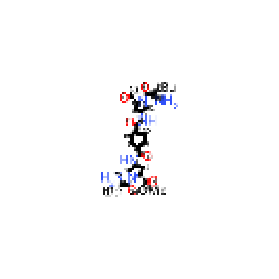 COC(=O)[C@@H]1C[C@H](NC(=O)c2ccc(C(=O)N[C@H]3C[C@@H](C(=O)OC)N(C(=O)[C@@H](N)C(C)(C)C)C3)cc2)CN1C(=O)[C@@H](N)C(C)(C)C